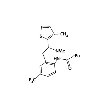 CNC(Cc1cc(C(F)(F)F)ccc1NC(=O)C(C)(C)C)c1sccc1C